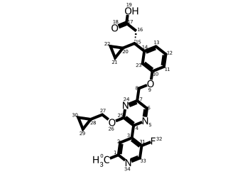 Cc1cc(-c2ncc(COc3cccc([C@@H](CC(=O)O)C4CC4)c3)nc2OCC2CC2)c(F)cn1